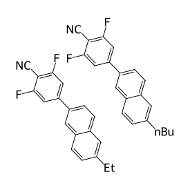 CCCCc1ccc2cc(-c3cc(F)c(C#N)c(F)c3)ccc2c1.CCc1ccc2cc(-c3cc(F)c(C#N)c(F)c3)ccc2c1